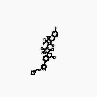 O=C1C[C@]2(NC(=O)N(CC(=O)N(Cc3ccc(F)cc3)C3(C(F)(F)F)CC3)C2=O)c2ccc(-c3cnn(CCN4CCC4)c3)cc21